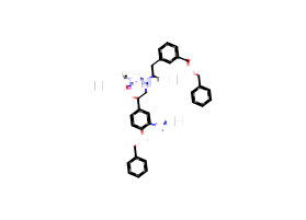 CC(Cc1cccc(C(=O)OCc2ccccc2)c1)NCC(O[Si](C)(C)C(C)(C)C)c1ccc(OCc2ccccc2)c(NC=O)c1